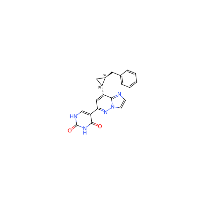 O=c1[nH]cc(-c2cc([C@@H]3C[C@H]3Cc3ccccc3)c3nccn3n2)c(=O)[nH]1